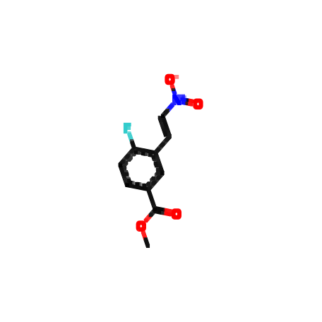 COC(=O)c1ccc(F)c(/C=C/[N+](=O)[O-])c1